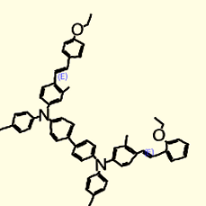 CCOc1ccc(/C=C/c2ccc(N(c3ccc(C)cc3)c3ccc(-c4ccc(N(c5ccc(C)cc5)c5ccc(/C=C/c6ccccc6OCC)c(C)c5)cc4)cc3)cc2C)cc1